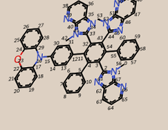 Cn1c(-c2c(-c3ccccc3)c(-c3ccc(N4c5ccccc5Oc5ccccc54)cc3)c(-c3nc4cccnc4n3C)c(-c3nc4cccnc4n3C)c2-c2ccccc2)nc2cccnc21